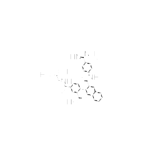 CC(C)CNC(=O)c1ccc(-c2cc3ccccc3cc2C(=O)Nc2ccc(C(=N)N)cc2)c(C(=O)O)c1